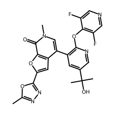 Cc1nnc(-c2cc3c(-c4cc(C(C)(C)O)cnc4Oc4c(F)cncc4F)cn(C)c(=O)c3o2)o1